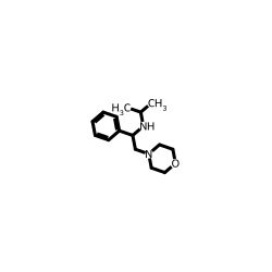 CC(C)NC(CN1CCOCC1)c1ccccc1